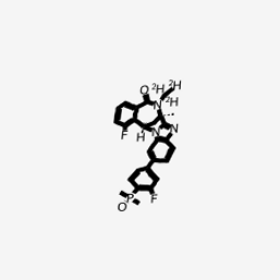 [2H]C([2H])([2H])N1C(=O)c2cccc(F)c2[C@H]2C[C@]1(C)c1nc3ccc(-c4ccc(P(C)(C)=O)c(F)c4)cc3n12